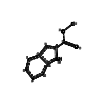 O=C(OCl)c1cc2ccccc2[nH]1